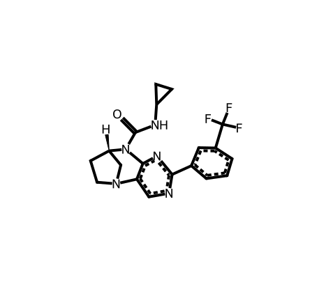 O=C(NC1CC1)N1c2nc(-c3cccc(C(F)(F)F)c3)ncc2N2CC[C@H]1C2